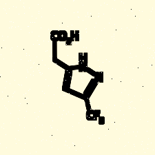 O=C(O)Cc1cc(C(F)(F)F)n[nH]1